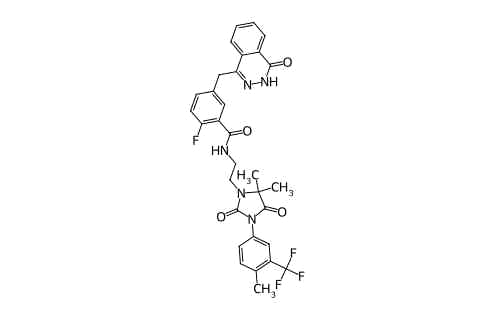 Cc1ccc(N2C(=O)N(CCNC(=O)c3cc(Cc4n[nH]c(=O)c5ccccc45)ccc3F)C(C)(C)C2=O)cc1C(F)(F)F